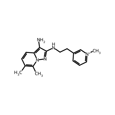 Cc1ccc2c(N)c(NCCc3ccc[n+](C)c3)nn2c1C